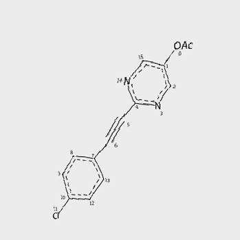 CC(=O)Oc1cnc(C#Cc2ccc(Cl)cc2)nc1